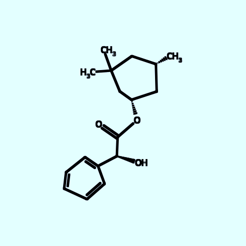 C[C@@H]1C[C@H](OC(=O)[C@@H](O)c2ccccc2)CC(C)(C)C1